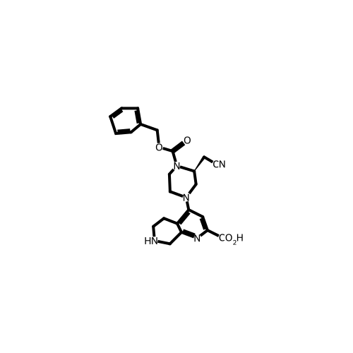 N#CC[C@H]1CN(c2cc(C(=O)O)nc3c2CCNC3)CCN1C(=O)OCc1ccccc1